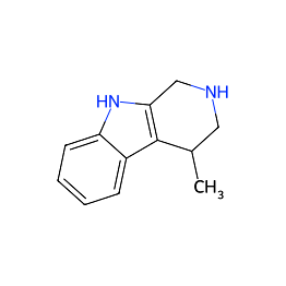 CC1CNCc2[nH]c3ccccc3c21